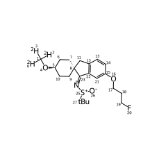 [2H]C([2H])([2H])O[C@H]1CC[C@]2(CC1)Cc1ccc(OCCCF)cc1C2=N[S+]([O-])C(C)(C)C